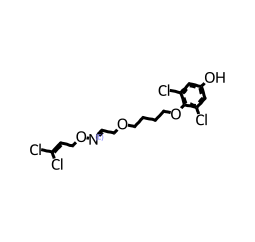 Oc1cc(Cl)c(OCCCCOC/C=N/OCC=C(Cl)Cl)c(Cl)c1